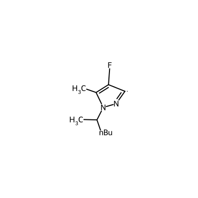 CCCCC(C)n1n[c]c(F)c1C